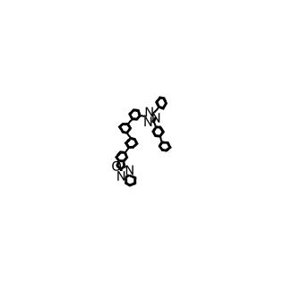 c1ccc(-c2ccc(-c3nc(-c4ccccc4)nc(-c4cccc(-c5cccc(-c6cccc(-c7ccc8oc9nc%10ccccc%10nc9c8c7)c6)c5)c4)n3)cc2)cc1